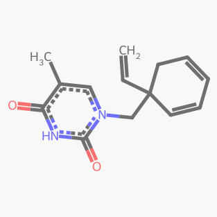 C=CC1(Cn2cc(C)c(=O)[nH]c2=O)C=CC=CC1